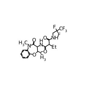 CCC(C(=O)NCC(F)(F)C(F)(F)F)C(=O)NC1C(=O)N(C)c2ccccc2OC1C